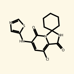 O=C1NC2(CCCCC2)n2c1c(Cl)cc(Nc1cncs1)c2=O